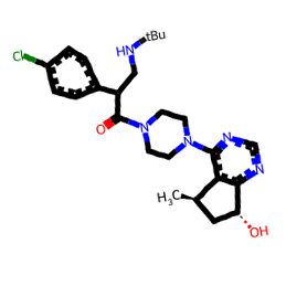 C[C@@H]1C[C@@H](O)c2ncnc(N3CCN(C(=O)C(CNC(C)(C)C)c4ccc(Cl)cc4)CC3)c21